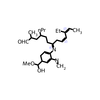 C=NC1=CC(C(O)OC)CC=C1/N=C(/C/C=C\C(=C/C)CC)CCC(CCC)CC(C)C=O